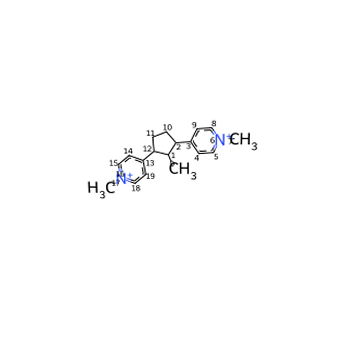 CC1C(c2cc[n+](C)cc2)CCC1c1cc[n+](C)cc1